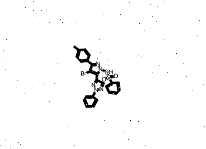 Cc1ccc(-c2nn(NS(=O)(=O)c3ccccc3)c(-c3cnn(-c4ccccc4)n3)c2Br)cc1